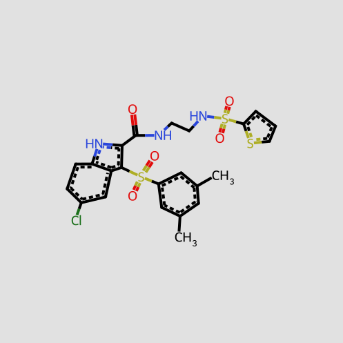 Cc1cc(C)cc(S(=O)(=O)c2c(C(=O)NCCNS(=O)(=O)c3cccs3)[nH]c3ccc(Cl)cc23)c1